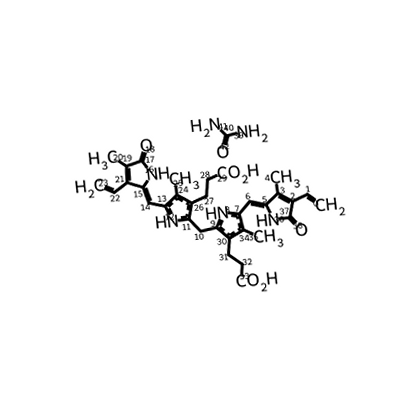 C=CC1=C(C)/C(=C/c2[nH]c(Cc3[nH]c(/C=C4\NC(=O)C(C)=C4C=C)c(C)c3CCC(=O)O)c(CCC(=O)O)c2C)NC1=O.NC(N)=O